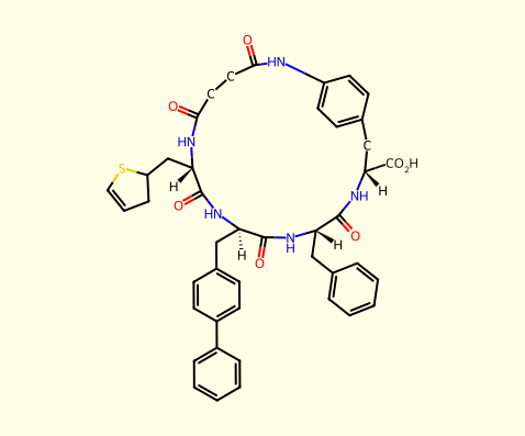 O=C1CCC(=O)N[C@@H](CC2CC=CS2)C(=O)N[C@H](Cc2ccc(-c3ccccc3)cc2)C(=O)N[C@@H](Cc2ccccc2)C(=O)N[C@@H](C(=O)O)Cc2ccc(cc2)N1